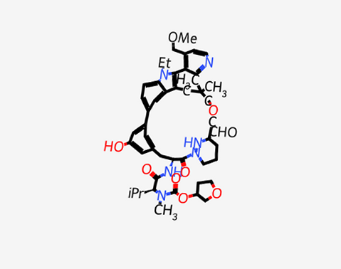 CCn1c(-c2cnccc2COC)c2c3cc(ccc31)-c1cc(O)cc(c1)C[C@H](NC(=O)[C@H](C(C)C)N(C)C(=O)OC1CCOC1)C(=O)N1CCCC(C=O)(COCC(C)(C)C2)N1